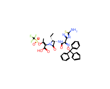 CC[C@@H]1[C@H](NC(=O)/C(=N\OC(c2ccccc2)(c2ccccc2)c2ccccc2)c2nsc(N)n2)C(=O)N1/C(C(=O)O)=C(\C)OS(=O)(=O)C(F)(F)F